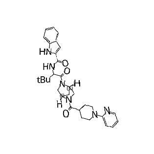 CC(C)(C)C(NC(=O)c1cc2ccccc2[nH]1)C(=O)N1C[C@@H]2C[C@H]1CN2C(=O)C1CCN(c2ccccn2)CC1